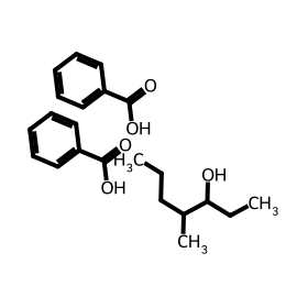 CCCC(C)C(O)CC.O=C(O)c1ccccc1.O=C(O)c1ccccc1